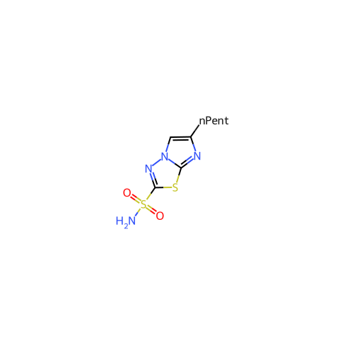 CCCCCc1cn2nc(S(N)(=O)=O)sc2n1